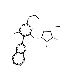 Cc1nc(N[C@@H](C)C(F)(F)F)nc(N[C@@H]2C[C@H](CO)[C@@H](O)[C@H]2O)c1-c1nc2ccccc2s1